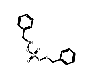 O=S(=O)(ONCc1ccccc1)ONCc1ccccc1